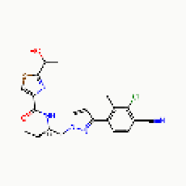 CC[C@H](Cn1ccc(-c2ccc(C#N)c(Cl)c2C)n1)NC(=O)c1csc(C(C)O)n1